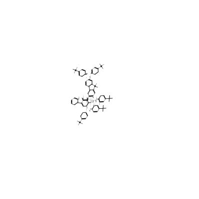 CC(C)(C)c1ccc(Nc2cc3c(cc2-c2c4c(cc5c2oc2ccccc25)N(c2ccc(C(C)(C)C)cc2)c2ccc(C(C)(C)C)cc2B4)-c2ccc(N(c4ccc(C(C)(C)C)cc4)c4ccc(C(C)(C)C)cc4)cc2C3(C)C)cc1